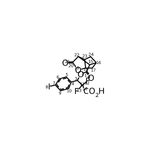 O=C(OC(c1ccc(I)cc1)C(F)(F)C(=O)O)C1C2CC3OC(=O)C1C3C2